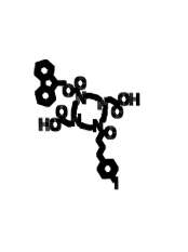 O=C(O)CN1CCN(C(=O)CCCc2ccc(I)cc2)CCN(CC(=O)O)CCN(C(=O)OCC2c3ccccc3-c3ccccc32)CC1